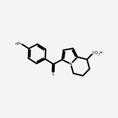 CCCc1ccc(C(=S)c2ccc3n2CCCC3C(=O)O)cc1